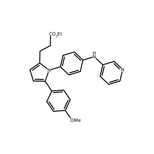 CCOC(=O)CCc1ccc(-c2ccc(OC)cc2)n1-c1ccc(Nc2cccnc2)cc1